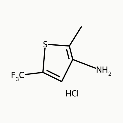 Cc1sc(C(F)(F)F)cc1N.Cl